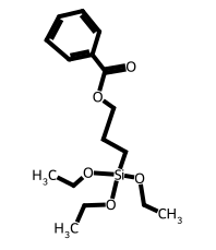 CCO[Si](CCCOC(=O)c1ccccc1)(OCC)OCC